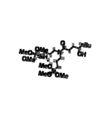 CCCCC(O)CCC(=O)N(CCC[SiH2]C(OC)(OC)OC)CCC[Si](OC)(OC)OC